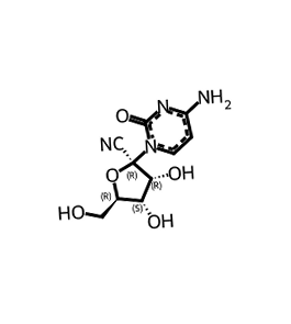 N#C[C@@]1(n2ccc(N)nc2=O)O[C@H](CO)[C@@H](O)[C@H]1O